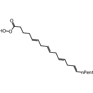 CCCCCC=CCC=CCC=CCC=CCCCC(=O)OO